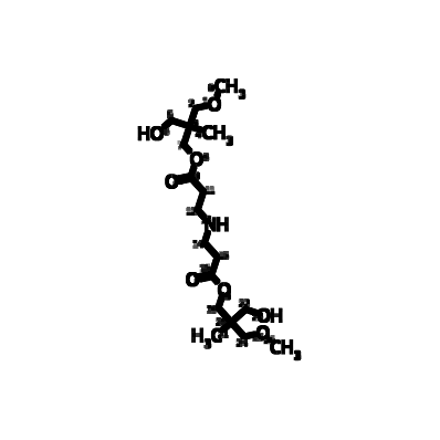 COCC(C)(CO)COC(=O)CCNCCC(=O)OCC(C)(CO)COC